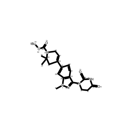 Cn1nc(N2CCC(=O)NC2=O)c2ccc(C3=CCN(C(=O)OC(C)(C)C)C(C)(C)C3)cc21